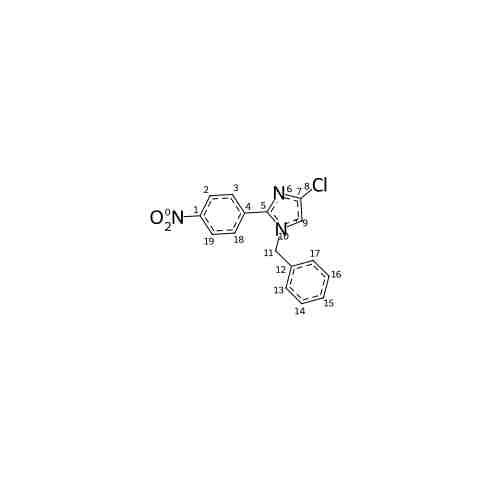 O=[N+]([O-])c1ccc(-c2nc(Cl)[c]n2Cc2ccccc2)cc1